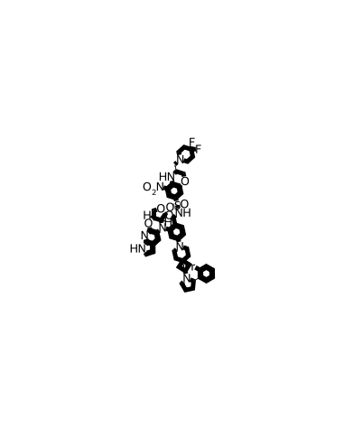 CC(C)c1ccccc1[C@@H]1CCCN1C1CC2(CCN(c3ccc(C(=O)NS(=O)(=O)c4cc5c(c([N+](=O)[O-])c4)N[C@H](CN4CCC(F)(F)CC4)CO5)c(N4c5cc6cc[nH]c6nc5O[C@@H]5COC[C@H]54)c3)CC2)C1